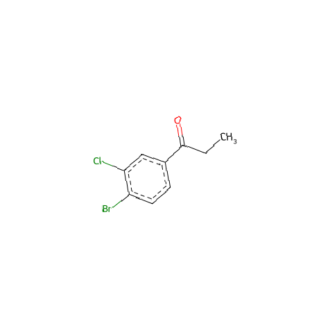 CCC(=O)c1ccc(Br)c(Cl)c1